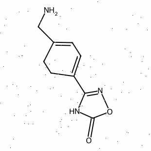 NCC1=CC=C(c2noc(=O)[nH]2)CC1